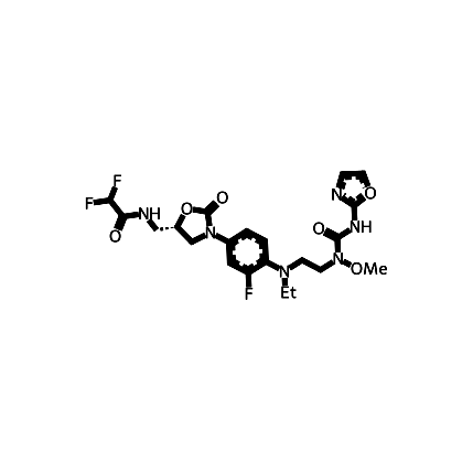 CCN(CCN(OC)C(=O)Nc1ncco1)c1ccc(N2C[C@H](CNC(=O)C(F)F)OC2=O)cc1F